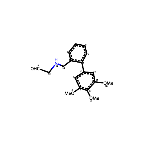 COc1cc(-c2ccccc2CNCC=O)cc(OC)c1OC